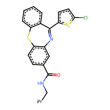 CC(C)CNC(=O)c1ccc2c(c1)N=C(c1ccc(Cl)s1)c1ccccc1S2